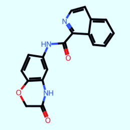 O=C1COc2ccc(NC(=O)c3nccc4ccccc34)cc2N1